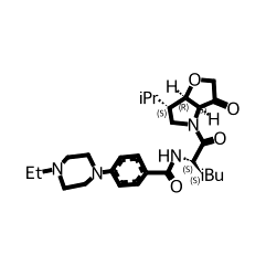 CC[C@H](C)[C@H](NC(=O)c1ccc(N2CCN(CC)CC2)cc1)C(=O)N1C[C@H](C(C)C)[C@H]2OCC(=O)[C@H]21